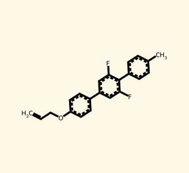 C=CCOc1ccc(-c2cc(F)c(-c3ccc(C)cc3)c(F)c2)cc1